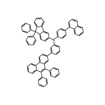 c1ccc(-c2c(-c3ccccc3)c3cc(-c4cccc(N(c5ccc(-c6cccc7ccccc67)cc5)c5ccc6c(c5)-c5ccccc5C6(c5ccccc5)c5ccccc5)c4)ccc3c3ccccc23)cc1